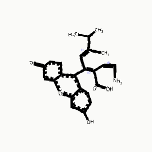 C\C(=C/C(=C(\C=C/N)C(=O)O)c1c2ccc(=O)cc-2oc2cc(O)ccc12)C(C)C